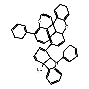 CC12C=CC=C(C3=CC4C(C=C3)OC3=CCCC=C3C43c4ccccc4Oc4c(C5=CC=CCC5)cccc43)C1N(C1=CC=CCC1)c1ccccc12